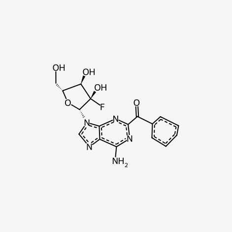 Nc1nc(C(=O)c2ccccc2)nc2c1ncn2[C@@H]1O[C@H](CO)[C@@H](O)[C@]1(O)F